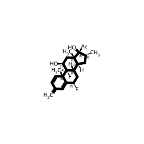 C=C1C=C[C@@]2(C)C(=C1)[C@@H](F)C[C@H]1[C@@H]3C[C@@H](C)[C@](O)(C(C)=O)[C@@]3(C)C[C@H](O)[C@@]12F